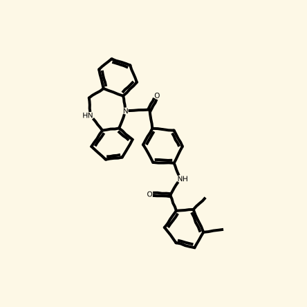 Cc1cccc(C(=O)Nc2ccc(C(=O)N3c4ccccc4CNc4ccccc43)cc2)c1C